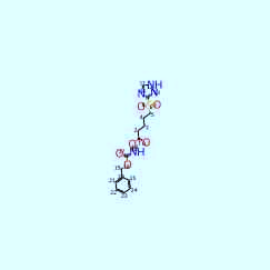 O=C(CCCCS(=O)(=O)c1nc[nH]n1)ONC(=O)OCc1ccccc1